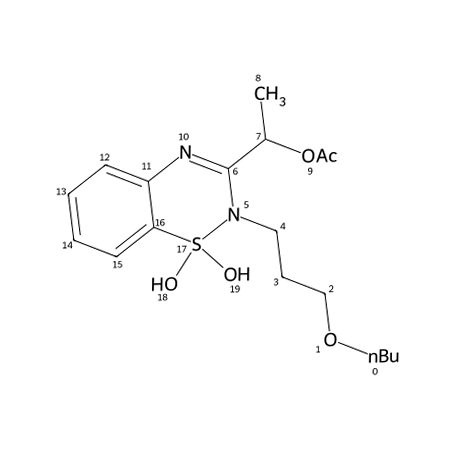 CCCCOCCCN1C(C(C)OC(C)=O)=Nc2ccccc2S1(O)O